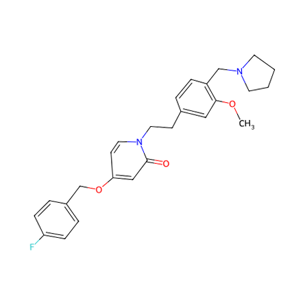 COc1cc(CCn2ccc(OCc3ccc(F)cc3)cc2=O)ccc1CN1CCCC1